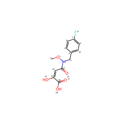 CON(Cc1ccc(F)cc1)C(=O)/C=C(/O)C(=O)O